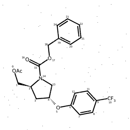 CC(=O)OC[C@@H]1C[C@@H](Oc2ccc(C(F)(F)F)cc2)CN1C(=O)OCc1ccccc1